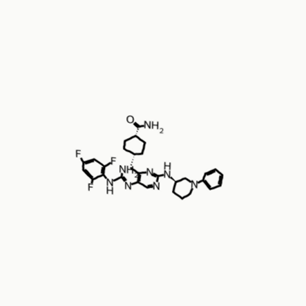 N/C(=N\c1cnc(N[C@@H]2CCCN(c3ccccc3)C2)nc1C[C@H]1CC[C@@H](C(N)=O)CC1)Nc1c(F)cc(F)cc1F